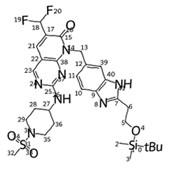 CC(C)(C)[Si](C)(C)OCCc1nc2ccc(Cn3c(=O)c(C(F)F)cc4cnc(NC5CCN(S(C)(=O)=O)CC5)nc43)cc2[nH]1